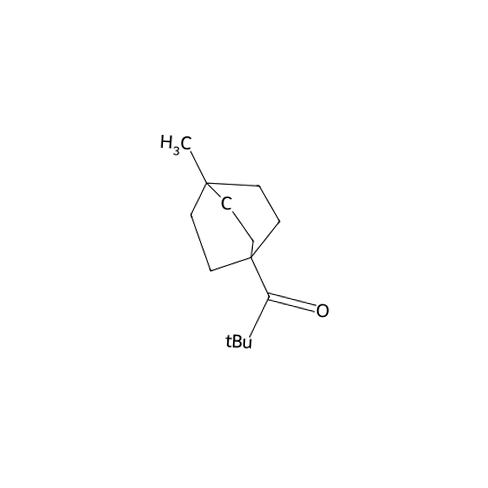 CC12CCC(C(=O)C(C)(C)C)(CC1)CC2